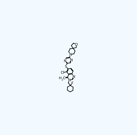 C=C1c2c(ccc(Sc3cnc(N4CCC5(CCOC5)CC4)cn3)c2Cl)N=CN1CC1(F)CCCCC1